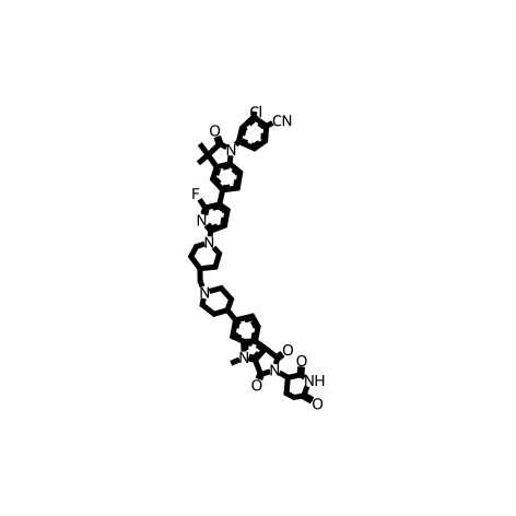 Cn1c2c(c3ccc(C4CCN(CC5CCN(c6ccc(-c7ccc8c(c7)C(C)(C)C(=O)N8c7ccc(C#N)c(Cl)c7)c(F)n6)CC5)CC4)cc31)C(=O)N(C1CCC(=O)NC1=O)C2=O